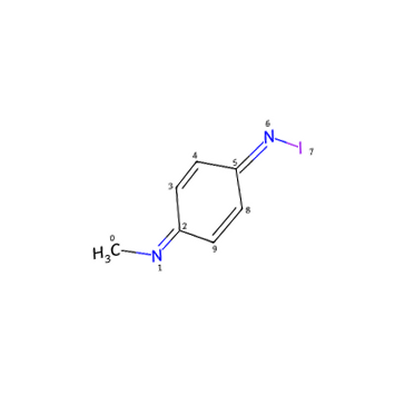 CN=C1C=CC(=NI)C=C1